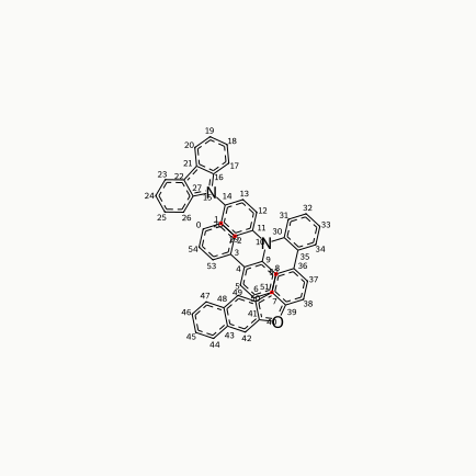 c1ccc(-c2ccccc2N(c2ccc(-n3c4ccccc4c4ccccc43)cc2)c2ccccc2-c2ccc3oc4cc5ccccc5cc4c3c2)cc1